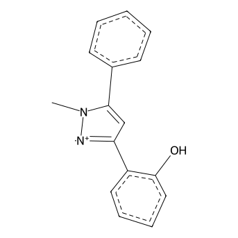 CN1[N+]=C(c2ccccc2O)C=C1c1ccccc1